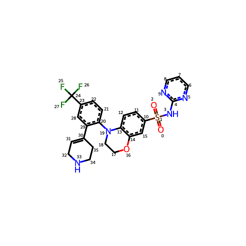 O=S(=O)(Nc1ncccn1)c1ccc2c(c1)OCCN2c1ccc(C(F)(F)F)cc1C1=CCNCC1